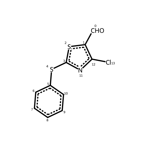 O=Cc1sc(Sc2ccccc2)nc1Cl